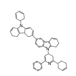 C1=CCC(N2C3=CC=C(c4ccc5c(c4)c4c(n5C5C=C(c6ccccc6)N=C(C6CC=CCC6)C5)CCC=C4)CC3C3=C2C=CCC3)C=C1